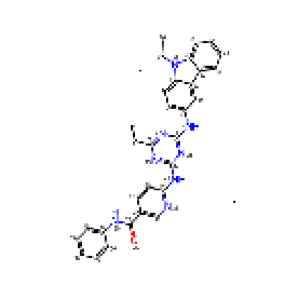 CCc1nc(Nc2ccc3c(c2)c2ccccc2n3CC)nc(Nc2ccc(C(=O)Nc3ccccc3)cn2)n1